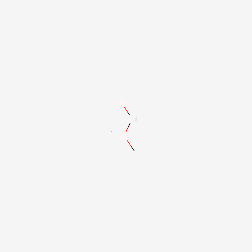 CO[SiH2][O-].[Na+]